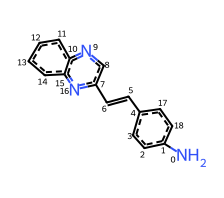 Nc1ccc(/C=C/c2cnc3ccccc3n2)cc1